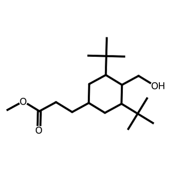 COC(=O)CCC1CC(C(C)(C)C)C(CO)C(C(C)(C)C)C1